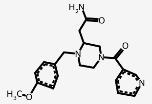 COc1ccc(CN2CCN(C(=O)c3cccnc3)CC2CC(N)=O)cc1